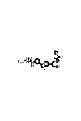 CC(C)(N/C=C(\C=N)c1ccn2c(-c3cccc(NC(=O)NCC(F)(F)F)c3)cnc2c1)C(=O)N1CCC1